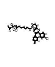 Cc1ccc(-c2nc3c(nc2-c2ccc(Cl)cc2)CCCN3CCCCCCC(=O)NS(=O)(=O)C(C)C)cc1